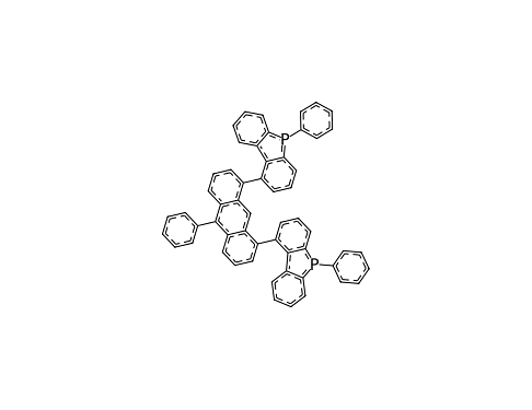 c1ccc(-c2c3cccc(-c4cccc5c4c4ccccc4p5-c4ccccc4)c3cc3c(-c4cccc5c4c4ccccc4p5-c4ccccc4)cccc23)cc1